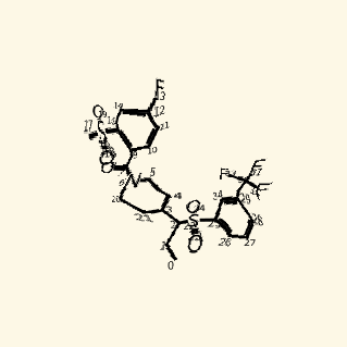 CCC(C1CCN(C(=O)c2ccc(F)cc2S(C)(=O)=O)CC1)S(=O)(=O)c1cccc(C(F)(F)F)c1